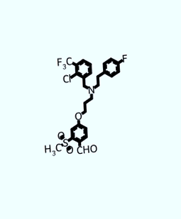 CS(=O)(=O)c1cc(OCCCN(CCc2ccc(F)cc2)Cc2cccc(C(F)(F)F)c2Cl)ccc1C=O